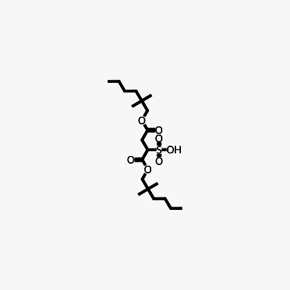 CCCCC(C)(C)COC(=O)CC(C(=O)OCC(C)(C)CCCC)S(=O)(=O)O